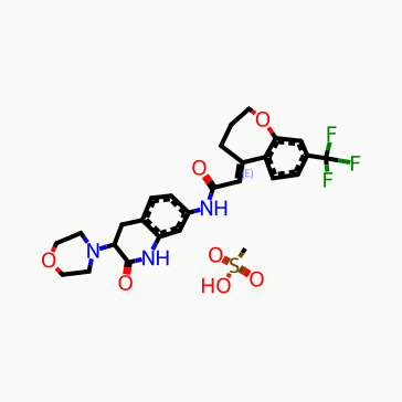 CS(=O)(=O)O.O=C(/C=C1\CCCOc2cc(C(F)(F)F)ccc21)Nc1ccc2c(c1)NC(=O)C(N1CCOCC1)C2